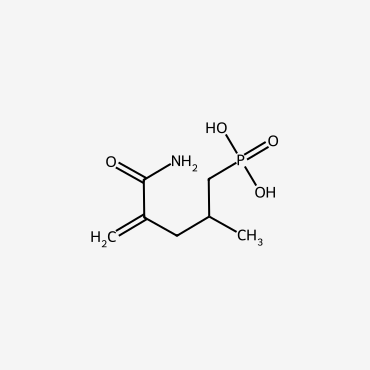 C=C(CC(C)CP(=O)(O)O)C(N)=O